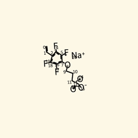 C=Cc1c(F)c(F)c(OCCCS(=O)(=O)[O-])c(F)c1F.[Na+]